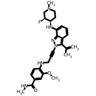 C=C(C)c1c2cccc(N[C@@H]3CCN(C)C[C@@H]3F)c2nn1C#CCNc1ccc(C(=O)NC)cc1OC